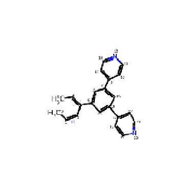 C/C=C\C(=C/C)c1cc(-c2ccncc2)cc(-c2ccncc2)c1